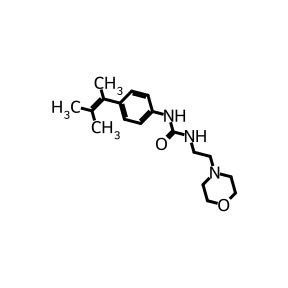 CC(C)=C(C)c1ccc(NC(=O)NCCN2CCOCC2)cc1